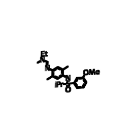 CCN(C)C=Nc1cc(C)c(N=S(=O)(c2cccc(OC)c2)C(C)C)cc1C